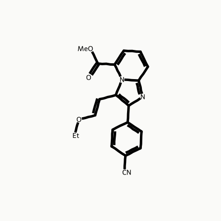 CCO/C=C/c1c(-c2ccc(C#N)cc2)nc2cccc(C(=O)OC)n12